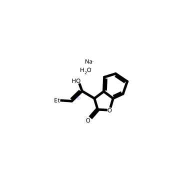 CC/C=C(\O)C1C(=O)Oc2ccccc21.O.[Na]